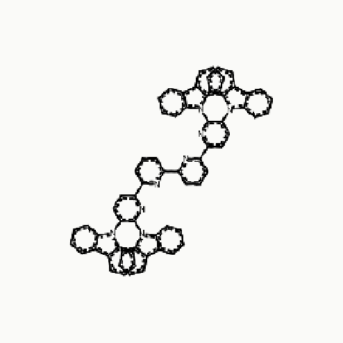 c1cc(-c2cccc(-c3ccc(-n4c5ccccc5c5ccccc54)c(-n4c5ccccc5c5ccccc54)n3)n2)nc(-c2ccc(-n3c4ccccc4c4ccccc43)c(-n3c4ccccc4c4ccccc43)n2)c1